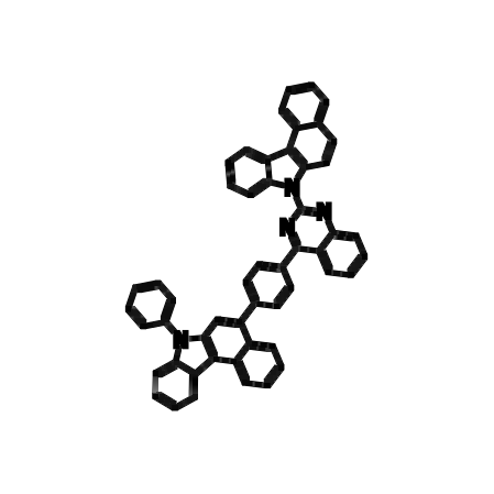 c1ccc(-n2c3ccccc3c3c4ccccc4c(-c4ccc(-c5nc(-n6c7ccccc7c7c8ccccc8ccc76)nc6ccccc56)cc4)cc32)cc1